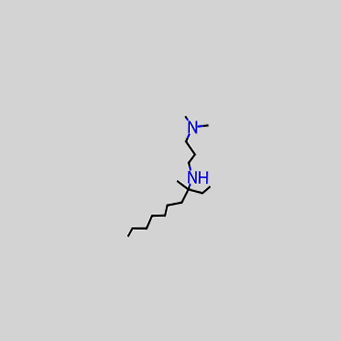 CCCCCCCC(C)(CC)NCCCN(C)C